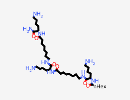 CCCCCCC(=O)NC(CCCCN)C(=O)NCCCCCCCC(=O)NC(CCCCN)C(=O)NCCCCCCCC(=O)NC(CCCCN)C(N)=O